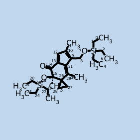 CC[Si](CC)(CC)OCC1=C(C)C=C2C(=O)[C@](C)(O[Si](CC)(CC)CC)C3(CC3)C(C)=C21